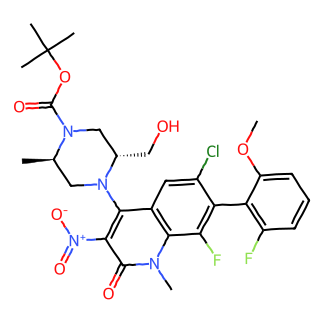 COc1cccc(F)c1-c1c(Cl)cc2c(N3C[C@@H](C)N(C(=O)OC(C)(C)C)C[C@@H]3CO)c([N+](=O)[O-])c(=O)n(C)c2c1F